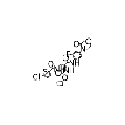 O=C(N[C@@H](CNC(=O)c1ccc(Cl)s1)C(=O)Nc1ccc(N2CCOCC2=O)cc1F)OC1CCC1